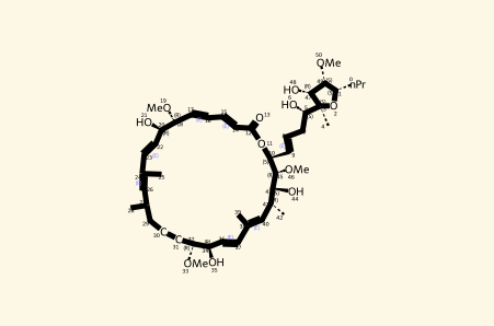 CCC[C@@H]1O[C@@](C)([C@@H](O)C/C=C/[C@@H]2OC(=O)/C=C/C=C/[C@@H](OC)[C@H](O)/C=C/C(C)=C/C(C)CCC[C@@H](OC)[C@H](O)/C=C/C(C)=C/[C@@H](C)[C@H](O)[C@H]2OC)[C@H](O)[C@@H]1OC